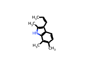 C/C=C\c1c(C)[nH]c2c(C)c(C)ccc12